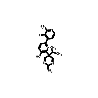 CC(C)C1(c2nc(-c3ccnc(N)c3F)ccc2O)C=NC(N)N=C1